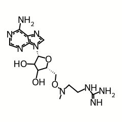 CN(CCNC(=N)N)OC[C@H]1O[C@@H](n2cnc3c(N)ncnc32)C(O)C1O